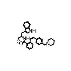 O=CC(Cc1c[nH]c2ccccc12)NC(=O)c1ccccc1C=Cc1ccc(CN2CCCCC2)cc1